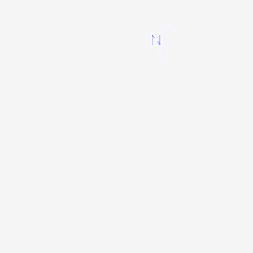 Cc1ccccc1C#Cc1ccccn1